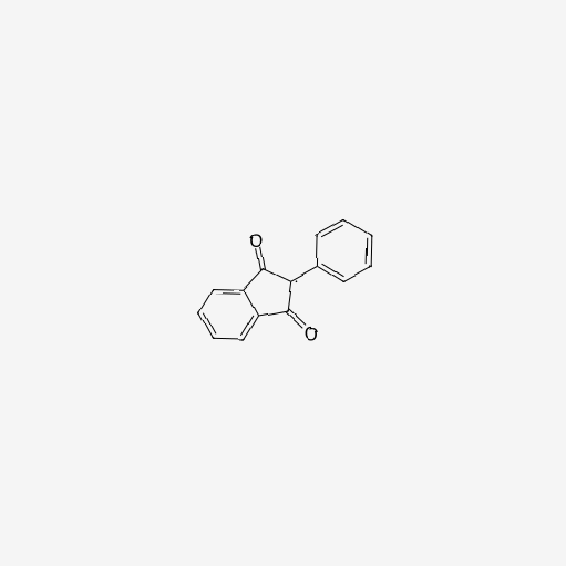 O=C1[C](c2ccccc2)C(=O)c2ccccc21